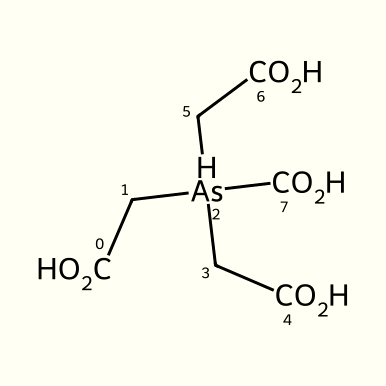 O=C(O)C[AsH](CC(=O)O)(CC(=O)O)C(=O)O